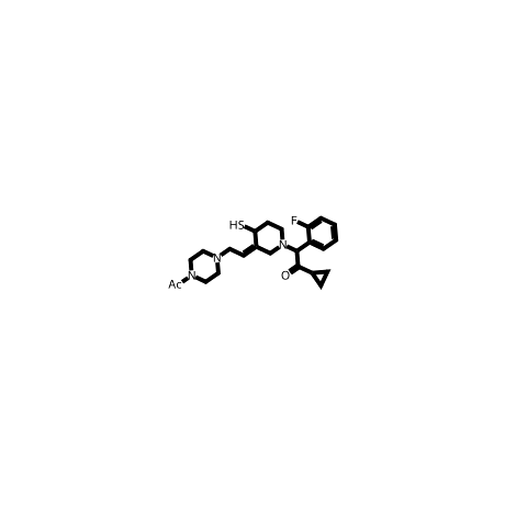 CC(=O)N1CCN(CC=C2CN(C(C(=O)C3CC3)c3ccccc3F)CCC2S)CC1